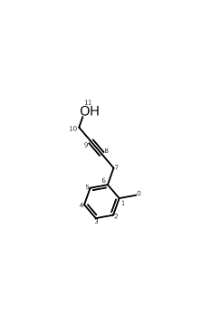 Cc1ccccc1CC#CCO